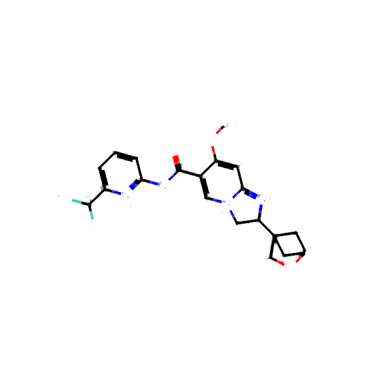 CC(C)OC1=CC2=NC(C34COC(C3)C4)CN2C=C1C(=O)Nc1cccc(C(F)F)n1